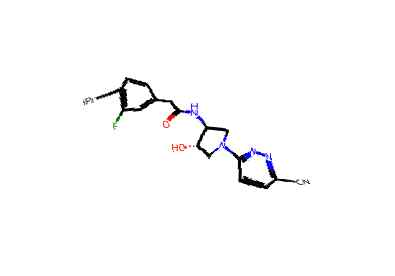 CC(C)c1ccc(CC(=O)N[C@H]2CN(c3ccc(C#N)nn3)C[C@@H]2O)cc1F